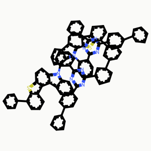 c1ccc(-c2ccc(-c3nc(-c4cccc(-c5cccc(-c6cccc7c6sc6c7ccc7c8ccccc8n(-c8ccccc8-c8nc(-c9ccccc9)nc(-c9ccc(-c%10ccccc%10)cc9)n8)c76)c5)c4)nc(-c4ccccc4-n4c5ccccc5c5c6c(ccc54)sc4c(-c5ccccc5)cccc46)n3)cc2)cc1